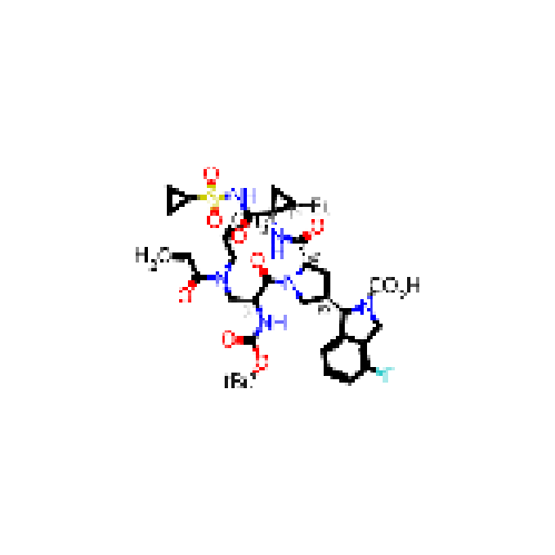 C=CCN(C[C@H](NC(=O)OC(C)(C)C)C(=O)N1C[C@H](C2c3cccc(F)c3CN2C(=O)O)C[C@H]1C(=O)N[C@]1(C(=O)NS(=O)(=O)C2CC2)C[C@H]1CC)C(=O)C=C